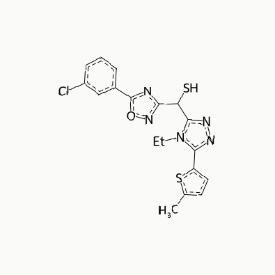 CCn1c(-c2ccc(C)s2)nnc1C(S)c1noc(-c2cccc(Cl)c2)n1